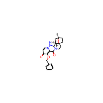 O=C1c2c(OCc3ccccc3)c(=O)ccn2N[C@H]2[C@@H]3C[C@@H]4CC[C@]3(CCN12)O4